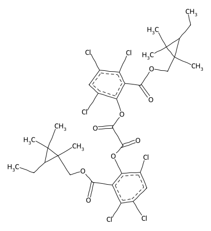 CCC1C(C)(C)C1(C)COC(=O)c1c(Cl)c(Cl)cc(Cl)c1OC(=O)C(=O)Oc1c(Cl)cc(Cl)c(Cl)c1C(=O)OCC1(C)C(CC)C1(C)C